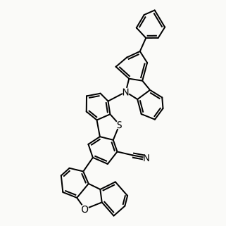 N#Cc1cc(-c2cccc3oc4ccccc4c23)cc2c1sc1c(-n3c4ccccc4c4cc(-c5ccccc5)ccc43)cccc12